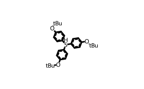 CC(C)(C)Oc1ccc([SH](c2ccc(OC(C)(C)C)cc2)c2ccc(OC(C)(C)C)cc2)cc1